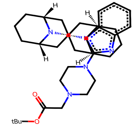 CC(C)(C)OC(=O)CN1CCN(c2nc3ccccc3n2[C@H]2C[C@H]3CCC[C@@H](C2)N3[C@H]2C[C@@H]3CCC[C@@H](C3)C2)CC1